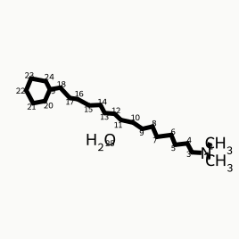 CN(C)CCCCCCCCCCCCCCCCC1CCCCC1.O